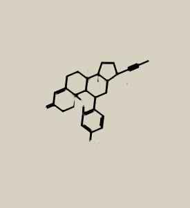 CC#C[C@]1(O)CC[C@H]2[C@@H]3CCC4=CC(=O)CC[C@@]45Sc4cc(OC)ccc4[C@@H](C[C@@]21C)C35